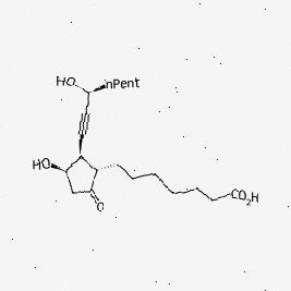 CCCCC[C@H](O)C#C[C@@H]1[C@H](O)CC(=O)[C@H]1CCCCCCC(=O)O